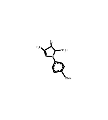 CCC1C(C(F)(F)F)=NN(c2ccc(OC)cc2)C1C(=O)O